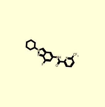 O=C(Nc1cc(F)c2nn(C3CCCCC3)cc2c1)c1cccc(C(F)(F)F)n1